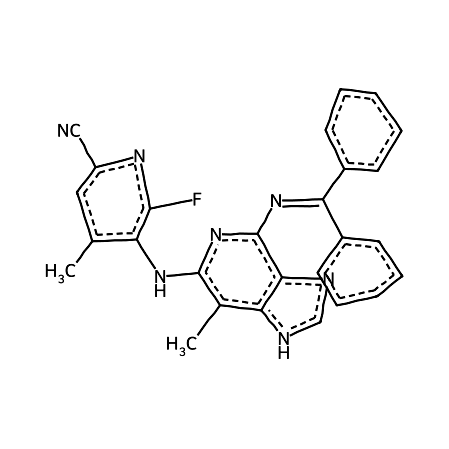 Cc1cc(C#N)nc(F)c1Nc1nc(N=C(c2ccccc2)c2ccccc2)c2nc[nH]c2c1C